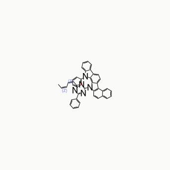 C/C=C\C=C/c1nc(-c2ccccc2)nc(-n2c3ccc4ccccc4c3c3ccc4c5ccccc5n(-c5ccccc5)c4c32)n1